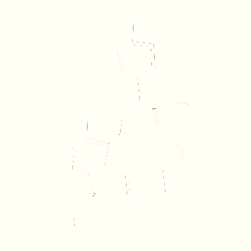 COC(=O)C1=C(C)NC(C)=C(C(=O)OC(C(=O)OC)c2ccc(Cl)cc2)C1c1cccc([N+](=O)[O-])c1